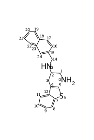 NCC(Cc1csc2ccccc12)NCc1ccc2ccccc2c1